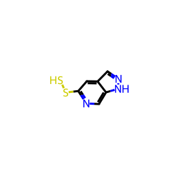 SSc1cc2cn[nH]c2cn1